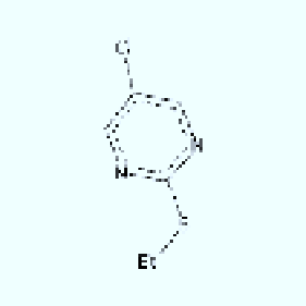 CCSc1ncc(Cl)cn1